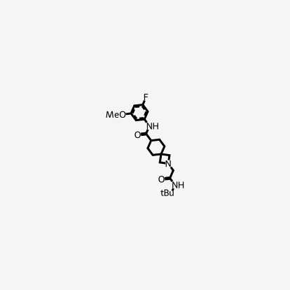 COc1cc(F)cc(NC(=O)C2CCC3(CC2)CN(CC(=O)NC(C)(C)C)C3)c1